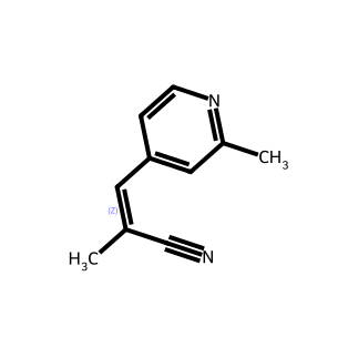 C/C(C#N)=C/c1ccnc(C)c1